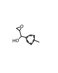 Cc1ccc(C(O)C2CO2)cc1